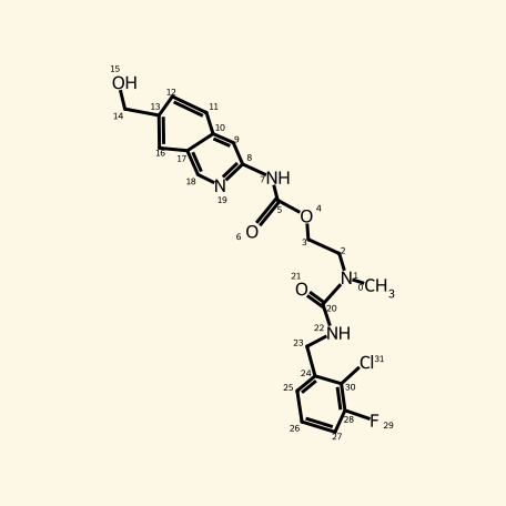 CN(CCOC(=O)Nc1cc2ccc(CO)cc2cn1)C(=O)NCc1cccc(F)c1Cl